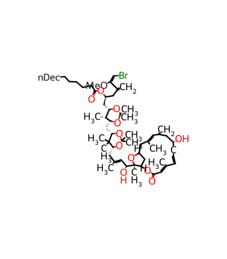 C=C1/C=C(\C)C[C@H]2C[C@@H](OC(=O)/C=C(C)/C=C/C[C@@H](O)C1)[C@@](C)([C@@H](O)/C=C(\C)C[C@H]1OC(C)(C)O[C@@H](C[C@H]3OC(C)(C)O[C@@H](C[C@H](CC(=C)/C(=C\Br)OC)OC(=O)CCCCCCCCCCCCCCC)[C@H]3C)C1(C)C)O2